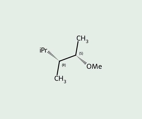 CO[C@@H](C)[C@H](C)C(C)C